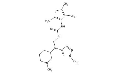 Cc1sc(C)c(NC(=O)NSN(c2cnn(C)c2)C2CCCN(C)C2)c1C